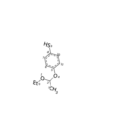 CCOC(C)Oc1ccc(S)cc1